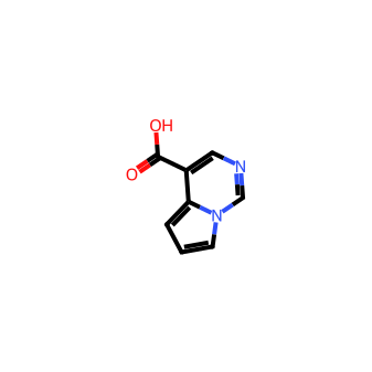 O=C(O)c1cncn2cccc12